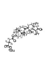 CCC[C@@]12CC[C@]3(C)[C@H](CC[C@@H]4[C@@]5(C)CC[C@H](OC(=O)CC(C)(C)C(=O)OC(C)(C)C)C(C)(C)[C@@H]5CC[C@]43C)C1=C(C(C)C)C(=O)C2